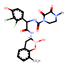 CCN1CCN(C(=O)NC(C(=O)N[C@H]2Cc3cccc(C(=O)O)c3OB2O)c2ccc(O)c(Cl)c2F)C(=O)C1=O